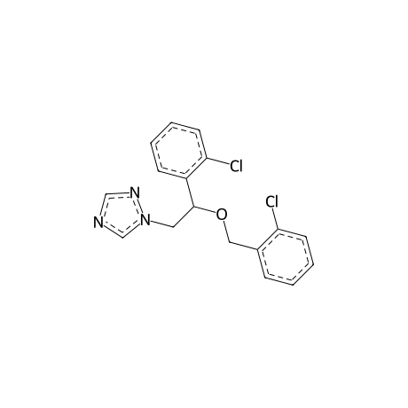 Clc1ccccc1COC(Cn1cncn1)c1ccccc1Cl